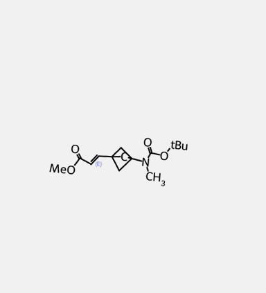 COC(=O)/C=C/C12CC(N(C)C(=O)OC(C)(C)C)(C1)C2